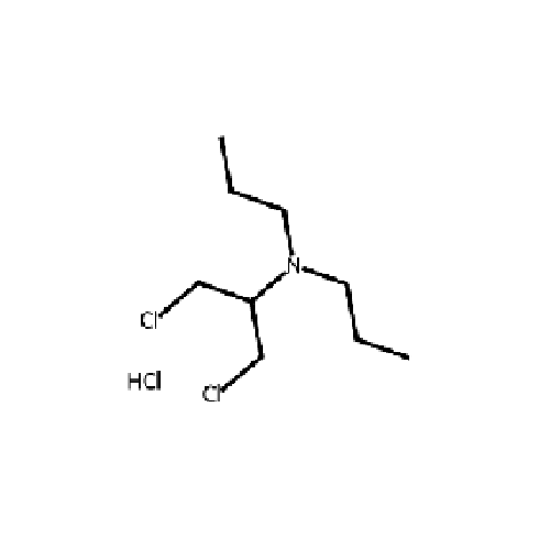 CCCN(CCC)C(CCl)CCl.Cl